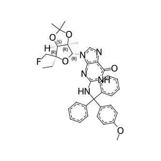 CC[C@@]1(CF)O[C@@H](n2cnc3c(=O)[nH]c(NC(c4ccccc4)(c4ccccc4)c4ccc(OC)cc4)nc32)[C@]2(C)OC(C)(C)O[C@H]12